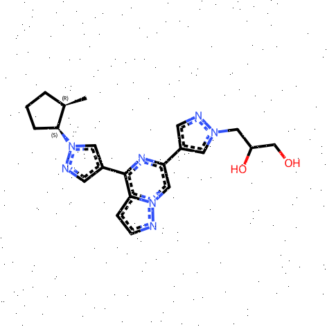 C[C@@H]1CCC[C@@H]1n1cc(-c2nc(-c3cnn(CC(O)CO)c3)cn3nccc23)cn1